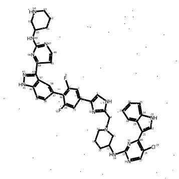 Fc1cc(-c2c[nH]c(CN3CCCC(Nc4ncc(Cl)c(-c5c[nH]c6ccccc56)n4)C3)n2)cc(F)c1-c1ccc2[nH]nc(-c3ccnc(NC4CCCNC4)n3)c2c1